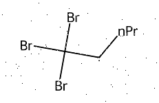 [CH2]CC[CH]C(Br)(Br)Br